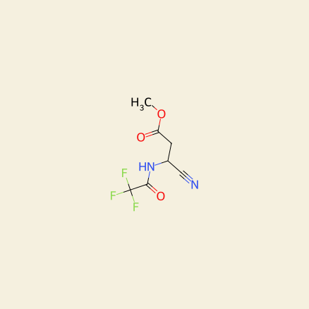 COC(=O)CC(C#N)NC(=O)C(F)(F)F